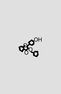 O=c1c(OCc2ccccc2)c(-c2ccc(O)cc2)oc2ccccc12